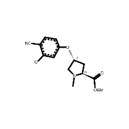 COC(=O)[C@@H]1C[C@@H](Oc2ccc(C#N)c(Cl)c2)CN1C